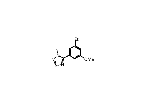 CCc1cc(OC)cc(-c2nnnn2C)c1